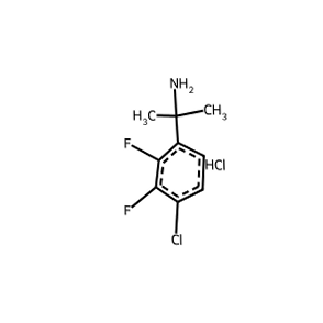 CC(C)(N)c1ccc(Cl)c(F)c1F.Cl